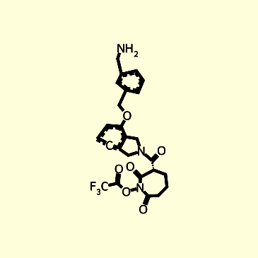 NCc1cccc(COc2cccc3c2CN(C(=O)[C@@H]2CCCC(=O)N(OC(=O)C(F)(F)F)C2=O)C3)c1